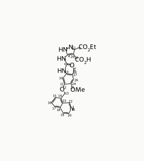 CCOC(=O)c1n[nH]c(NC(=O)Nc2cc(OCc3cccc4ccncc34)c(OC)cc2F)c1C(=O)O